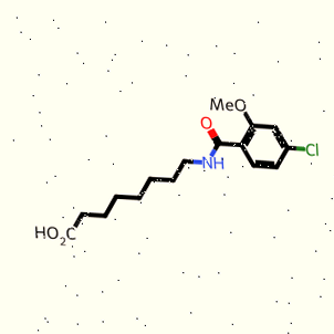 COc1cc(Cl)ccc1C(=O)NCCCCCCCC(=O)O